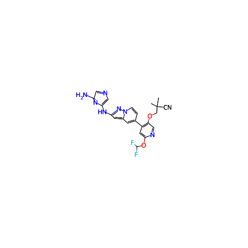 CC(C)(C#N)COc1cnc(OC(F)F)cc1-c1ccn2nc(Nc3cncc(N)n3)cc2c1